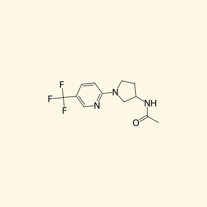 CC(=O)NC1CCN(c2ccc(C(F)(F)F)cn2)C1